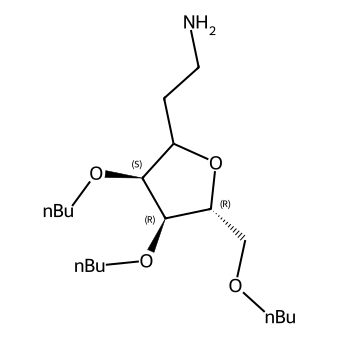 CCCCOC[C@H]1OC(CCN)[C@H](OCCCC)[C@@H]1OCCCC